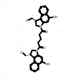 O=C(CCCC(=O)N1C[C@@H](CCl)c2c1cc(O)c1ccccc21)N1C[C@@H](CCl)c2c1cc(O)c1ccccc21